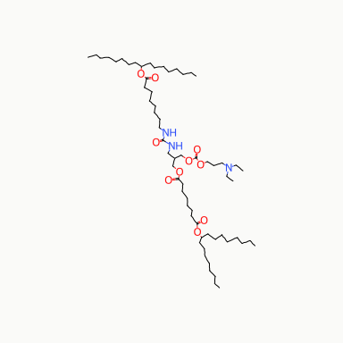 CCCCCCCCC(CCCCCCCC)OC(=O)CCCCCCCNC(=O)NCC(COC(=O)CCCCCCC(=O)OC(CCCCCCCC)CCCCCCCC)COC(=O)OCCCN(CC)CC